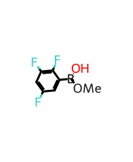 COB(O)c1cc(F)cc(F)c1F